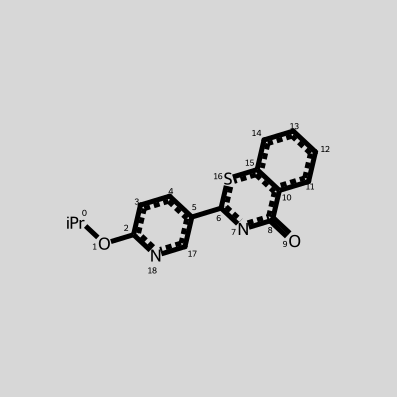 CC(C)Oc1ccc(-c2nc(=O)c3ccccc3s2)cn1